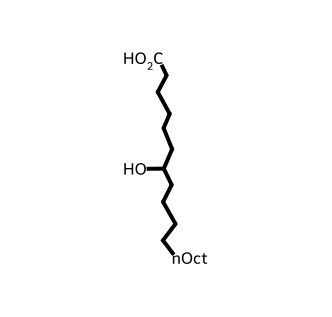 CCCCCCCCCCCCC(O)CCCCCC(=O)O